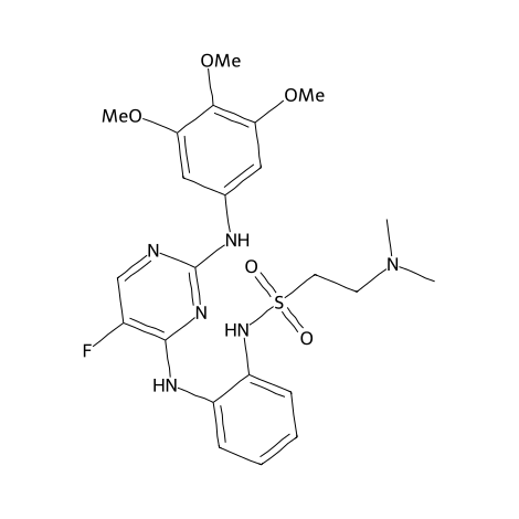 COc1cc(Nc2ncc(F)c(Nc3ccccc3NS(=O)(=O)CCN(C)C)n2)cc(OC)c1OC